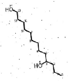 CCCC(O)CCCCCCCCCO